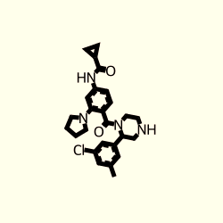 Cc1cc(Cl)cc(C2CNCCN2C(=O)c2ccc(NC(=O)C3CC3)cc2N2CCCC2)c1